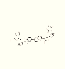 COC(=O)N[C@H](C(=O)N1[C@@H]2C[C@H]2C[C@H]1c1nc(Cl)c(-c2ccc3cc(-c4ccc5[nH]c([C@@H]6C[C@H]7C[C@H]7N6C(=O)[C@@H](NC(=O)O)C6CCOCC6)nc5c4)ccc3c2)[nH]1)C(C)C